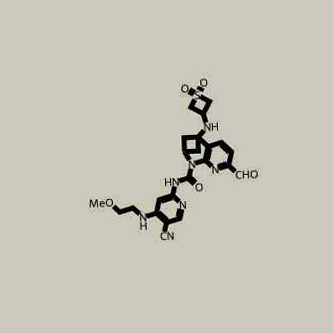 COCCNc1cc(NC(=O)N2c3nc(C=O)ccc3C3(NC4CS(=O)(=O)C4)CC2C3)ncc1C#N